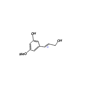 COc1cc(O)cc(/C=C/CO)c1